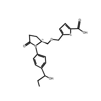 CCC(O)c1ccc(N2C(=O)CC[C@H]2COCc2ccc(C(=O)O)s2)cc1